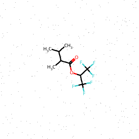 CC(C)C(C)C(=O)OC(C(F)(F)F)C(F)(F)F